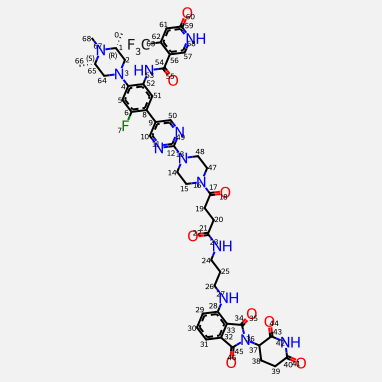 C[C@@H]1CN(c2cc(F)c(-c3cnc(N4CCN(C(=O)CCC(=O)NCCCNc5cccc6c5C(=O)N(C5CCC(=O)NC5=O)C6=O)CC4)nc3)cc2NC(=O)c2c[nH]c(=O)cc2C(F)(F)F)C[C@H](C)N1C